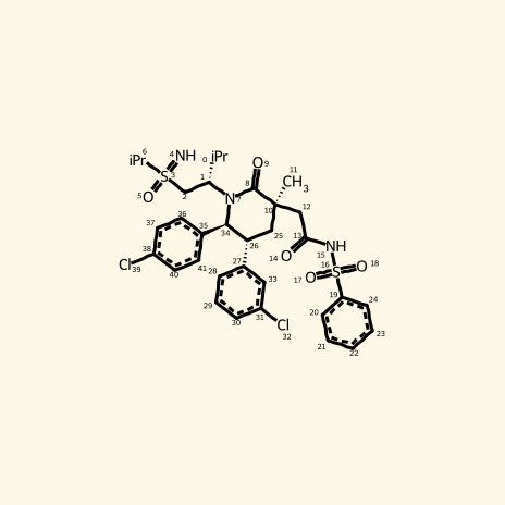 CC(C)[C@@H](CS(=N)(=O)C(C)C)N1C(=O)[C@@](C)(CC(=O)NS(=O)(=O)c2ccccc2)C[C@H](c2cccc(Cl)c2)[C@H]1c1ccc(Cl)cc1